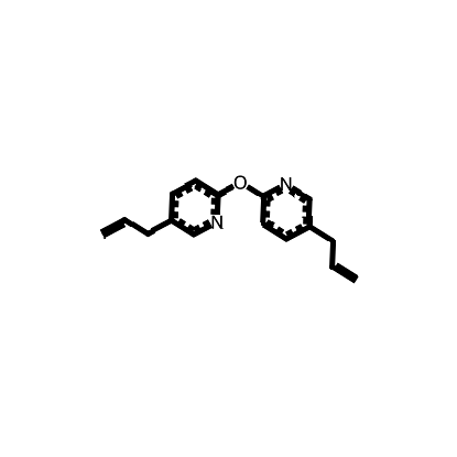 C=CCc1ccc(Oc2ccc(CC=C)cn2)nc1